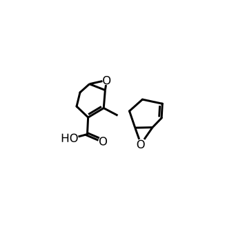 C1=CC2OC2CC1.CC1=C(C(=O)O)CCC2OC12